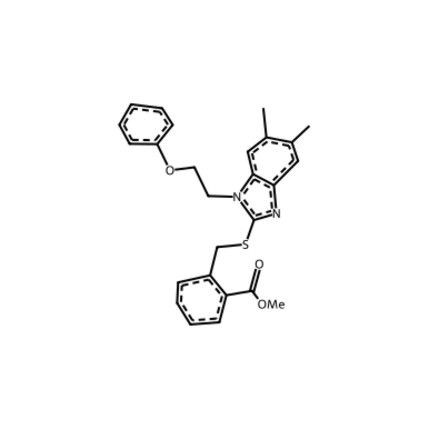 COC(=O)c1ccccc1CSc1nc2cc(C)c(C)cc2n1CCOc1ccccc1